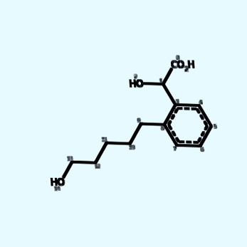 O=C(O)C(O)c1ccccc1CCCCCO